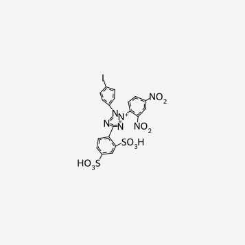 O=[N+]([O-])c1ccc(-[n+]2nc(-c3ccc(S(=O)(=O)O)cc3S(=O)(=O)O)nn2-c2ccc(I)cc2)c([N+](=O)[O-])c1